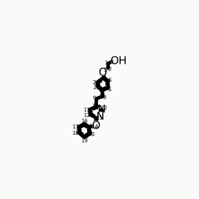 OCCOc1ccc(CCc2ccc(Oc3ccccc3)nn2)cc1